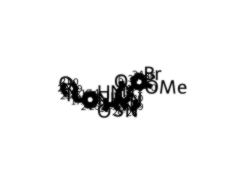 COc1cc(N2C(=O)Nc3c(C(=O)Nc4ccc(CN5CCOCC5)cc4)sc4ncnc2c34)ccc1Br